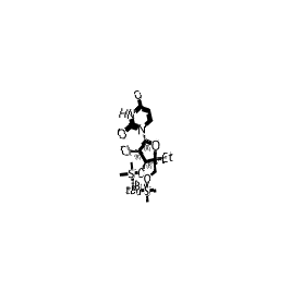 CC[C@]1(CO[Si](C)(C)C(C)(C)C)O[C@@H](n2ccc(=O)[nH]c2=O)[C@H](Cl)[C@@H]1O[Si](C)(C)C(C)(C)C